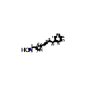 O/N=C/c1cnc(C#CCCc2cccnc2)s1